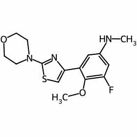 CNc1cc(F)c(OC)c(-c2csc(N3CCOCC3)n2)c1